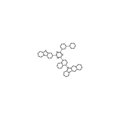 c1ccc(-c2cccc(-c3nc(-c4ccc5c(c4)sc4ccccc45)nc(-c4ccc(-n5c6ccccc6c6cc7ccccc7cc65)c5ccccc45)n3)c2)cc1